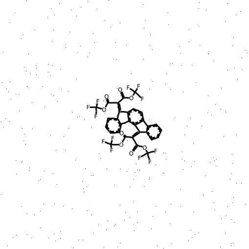 O=C(OC(F)(F)F)C(C(=O)OC(F)(F)F)=C1c2ccccc2-c2c1ccc1c2C(=C(C(=O)OC(F)(F)F)C(=O)OC(F)(F)F)c2ccccc2-1